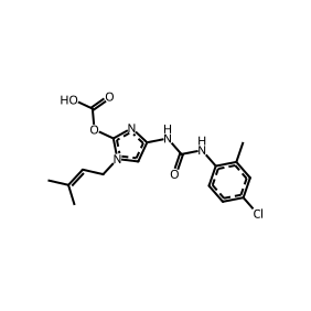 CC(C)=CCn1cc(NC(=O)Nc2ccc(Cl)cc2C)nc1OC(=O)O